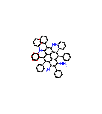 Nc1c(-c2ccccc2)c(N)c2c(-c3ccccc3)c(-c3ccccc3)c3c(N(c4ccccc4)c4ccccc4)c(-c4ccccc4)c(N)c4c(-c5ccccc5)c(-c5ccccc5)c1c2c43